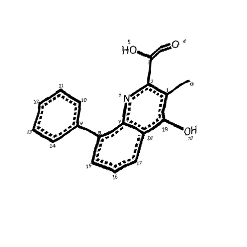 Cc1c(C(=O)O)nc2c(-c3ccccc3)cccc2c1O